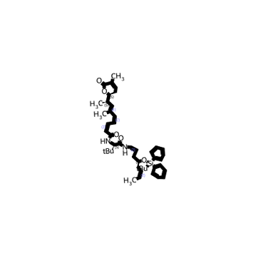 C/C=C\C[C@@H](C/C=C\NC(=O)[C@@H](NC(=O)\C=C/C=C\C(C)=C\[C@H](C)[C@@H]1CC=C(C)C(=O)O1)C(C)(C)C)O[Si](c1ccccc1)(c1ccccc1)C(C)(C)C